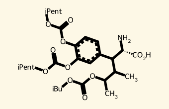 CCCC(C)OC(=O)Oc1ccc(C(C(C)C(C)OC(=O)OC(C)CC)[C@H](N)C(=O)O)cc1OC(=O)OC(C)CCC